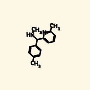 CNC(c1ccc(C)cc1)c1cccc(C)n1